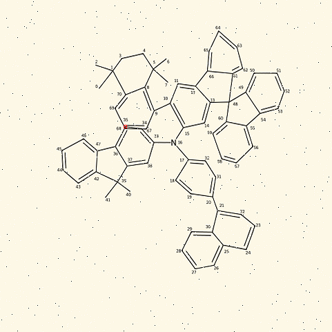 CC1(C)CCC(C)(C)c2c(-c3cc4c(cc3N(c3ccc(-c5cccc6ccccc56)cc3)c3ccc5c(c3)C(C)(C)c3ccccc3-5)C3(c5ccccc5-c5ccccc53)c3ccccc3-4)cccc21